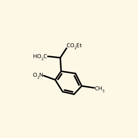 CCOC(=O)C(C(=O)O)c1cc(C)ccc1[N+](=O)[O-]